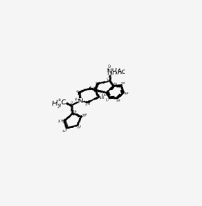 CC(=O)NC1CC2(CCN(C(C)C3CCCC3)CC2)c2ccccc21